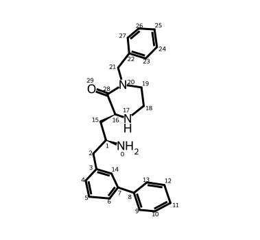 N[C@@H](Cc1cccc(-c2ccccc2)c1)C[C@@H]1NCCN(Cc2ccccc2)C1=O